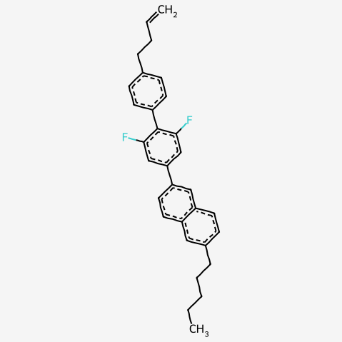 C=CCCc1ccc(-c2c(F)cc(-c3ccc4cc(CCCCC)ccc4c3)cc2F)cc1